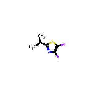 CC(C)c1nc(I)c(I)s1